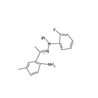 C/C(=N\N(c1ccccc1F)C(C)C)c1cc(C)ccc1N